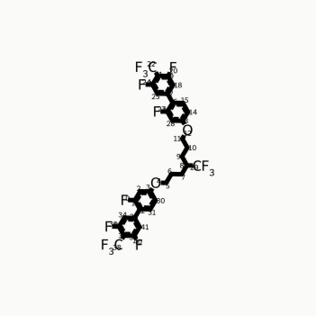 Fc1cc(OCCCC(CCCOc2ccc(-c3cc(F)c(C(F)(F)F)c(F)c3)c(F)c2)C(F)(F)F)ccc1-c1cc(F)c(C(F)(F)F)c(F)c1